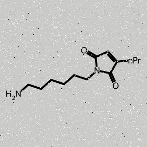 CCCC1=CC(=O)N(CCCCCCN)C1=O